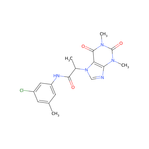 Cc1cc(Cl)cc(NC(=O)C(C)n2cnc3c2c(=O)n(C)c(=O)n3C)c1